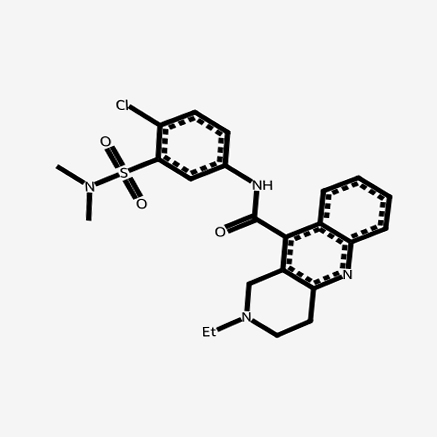 CCN1CCc2nc3ccccc3c(C(=O)Nc3ccc(Cl)c(S(=O)(=O)N(C)C)c3)c2C1